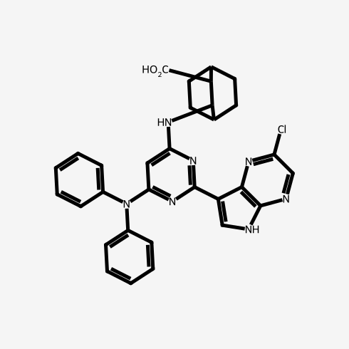 O=C(O)C1C2CCC(CC2)C1Nc1cc(N(c2ccccc2)c2ccccc2)nc(-c2c[nH]c3ncc(Cl)nc23)n1